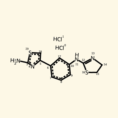 Cl.Cl.Nc1nc(-c2cccc(NC3=NCCS3)c2)cs1